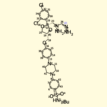 CCC(C)NS(=O)(=O)c1ccc(N2CCN(c3ccc(OC[C@@H]4CO[C@@](CN(N)/C=N\N)(c5ccc(Cl)cc5Cl)O4)cc3)CC2)cc1